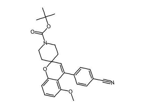 COc1cccc2c1C(c1ccc(C#N)cc1)=CC1(CCN(C(=O)OC(C)(C)C)CC1)O2